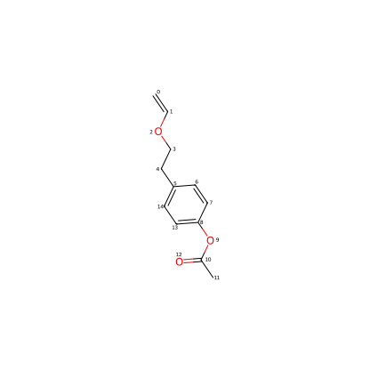 C=COCCc1ccc(OC(C)=O)cc1